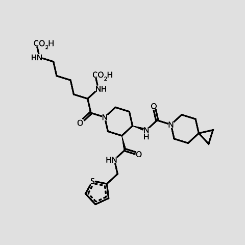 O=C(O)NCCCCC(NC(=O)O)C(=O)N1CC[C@@H](NC(=O)N2CCC3(CC2)CC3)[C@@H](C(=O)NCc2cccs2)C1